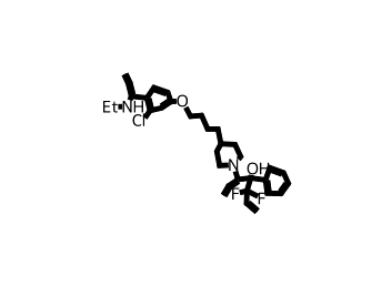 C=C=C(NCC)c1ccc(OCCCCC2CCN(C(=C=C)C(O)(c3ccccc3)C(F)(F)C=C)CC2)cc1Cl